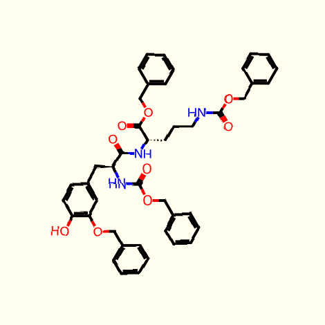 O=C(NCCC[C@H](NC(=O)[C@H](Cc1ccc(O)c(OCc2ccccc2)c1)NC(=O)OCc1ccccc1)C(=O)OCc1ccccc1)OCc1ccccc1